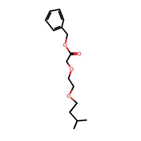 CC(C)CCOCCOCC(=O)OCc1ccccc1